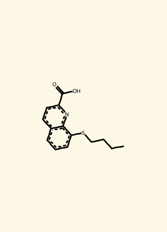 CCCCSc1cccc2ccc(C(=O)O)nc12